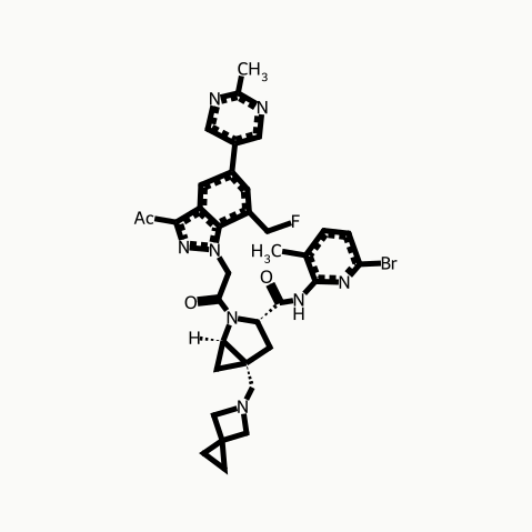 CC(=O)c1nn(CC(=O)N2[C@H](C(=O)Nc3nc(Br)ccc3C)C[C@@]3(CN4CC5(CC5)C4)C[C@@H]23)c2c(CF)cc(-c3cnc(C)nc3)cc12